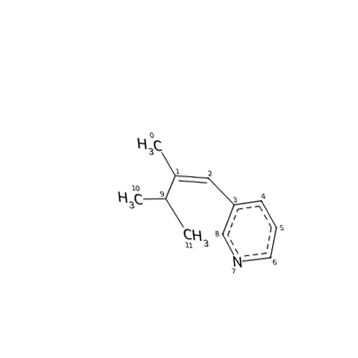 C/C(=C/c1cccnc1)C(C)C